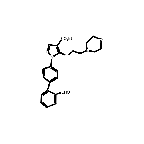 CCOC(=O)c1cnn(-c2ccc(-c3ccccc3C=O)cc2)c1OCCN1CCOCC1